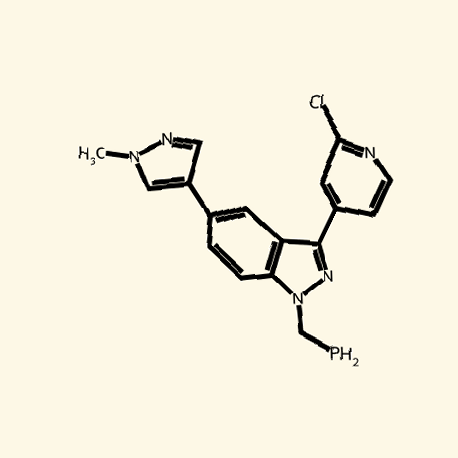 Cn1cc(-c2ccc3c(c2)c(-c2ccnc(Cl)c2)nn3CP)cn1